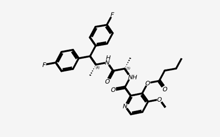 CCCC(=O)Oc1c(OC)ccnc1C(=O)N[C@@H](C)C(=O)N[C@H](C)C(c1ccc(F)cc1)c1ccc(F)cc1